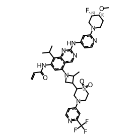 C=CC(=O)Nc1cc(N2CC(C3CN(c4ccnc(C(F)(F)F)c4)CCS3(=O)=O)C2C)c2cnc(Nc3ccnc(N4CC[C@@H](OC)[C@@H](F)C4)c3)nc2c1C(C)C